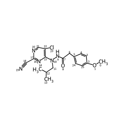 COc1ccc(CC(=O)NN(CC(C)C)c2nc(C#N)ncc2Cl)cc1